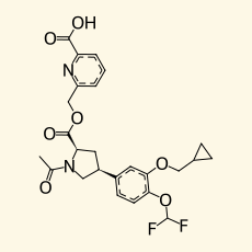 CC(=O)N1C[C@H](c2ccc(OC(F)F)c(OCC3CC3)c2)C[C@@H]1C(=O)OCc1cccc(C(=O)O)n1